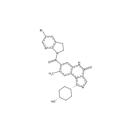 Cc1cc2c(cc1C(=O)N1CCc3cc(Br)cnc31)[nH]c(=O)c1cnc([C@H]3CC[C@@H](O)CC3)n12